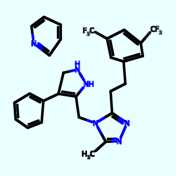 Cc1nnc(CCc2cc(C(F)(F)F)cc(C(F)(F)F)c2)n1CC1=C(c2ccccc2)CNN1.c1ccncc1